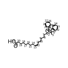 CC(C)(C)[Si](OCCCCCC/C=C\CCCCCCCC(=O)O)(c1ccccc1)c1ccccc1